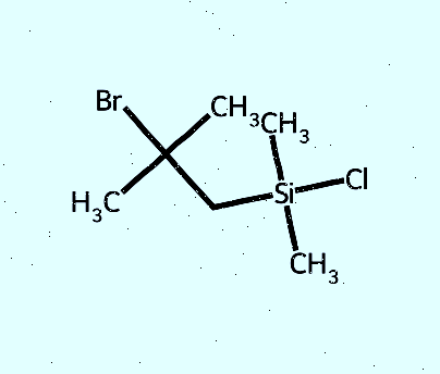 CC(C)(Br)C[Si](C)(C)Cl